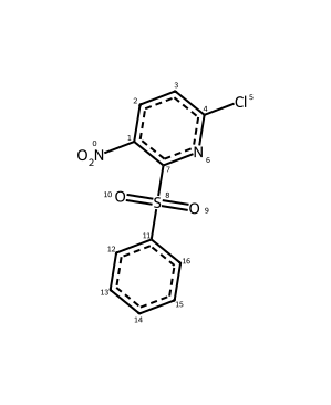 O=[N+]([O-])c1ccc(Cl)nc1S(=O)(=O)c1ccccc1